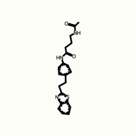 CC(=O)NCCCC(=O)Nc1ccc(CCc2nc3ccccc3s2)cc1